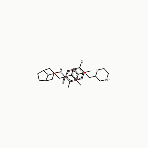 Cc1c(CCN2C3CCC2CC(NC(=O)c2ccc(F)c(Cl)c2)C3)ccc(OCC2CNCCO2)c1C